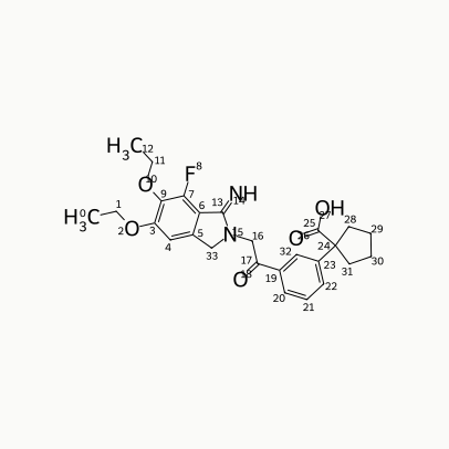 CCOc1cc2c(c(F)c1OCC)C(=N)N(CC(=O)c1cccc(C3(C(=O)O)CCCC3)c1)C2